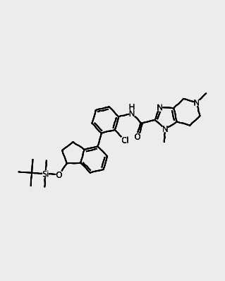 CN1CCc2c(nc(C(=O)Nc3cccc(-c4cccc5c4CCC5O[Si](C)(C)C(C)(C)C)c3Cl)n2C)C1